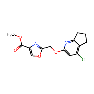 COC(=O)c1coc(COc2cc(Cl)c3c(n2)CCC3)n1